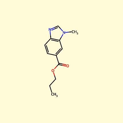 CCCOC(=O)c1ccc2ncn(C)c2c1